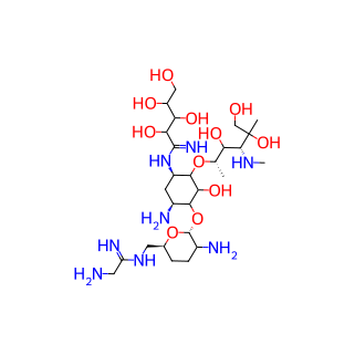 CN[C@H](C(O)[C@H](C)OC1C(O)C(O[C@H]2O[C@H](CNC(=N)CN)CCC2N)[C@@H](N)C[C@H]1NC(=N)C(O)C(O)C(O)CO)C(C)(O)CO